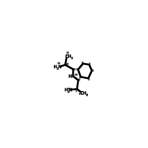 C1CCCCC1.CC(N)CNCC(C)N